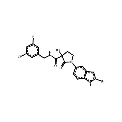 O=C(NCc1cc(F)cc(Cl)c1)C1(O)CCN(c2ccc3[nH]c(Br)cc3c2)C1=O